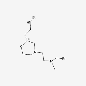 CCNCC[C@@H]1CN(CCN(C)CC(C)C)CCO1